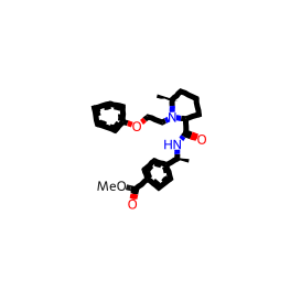 COC(=O)c1ccc([C@H](C)NC(=O)C2CCC[C@H](C)N2CCOc2ccccc2)cc1